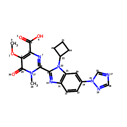 COc1c(C(=O)O)nc(-c2nc3ccc(-n4cncn4)cc3n2C2CCC2)n(C)c1=O